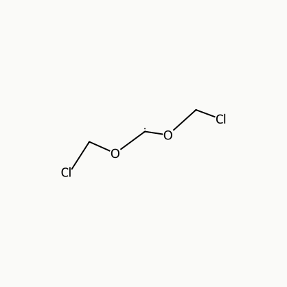 ClCO[CH]OCCl